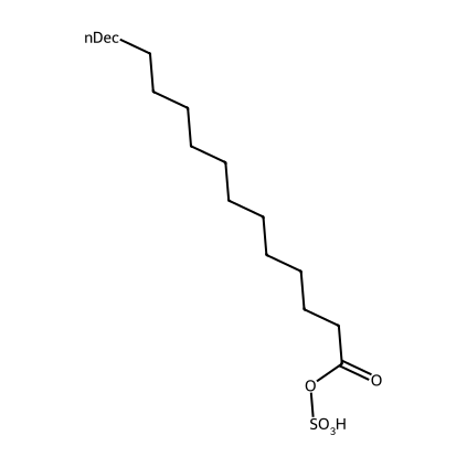 CCCCCCCCCCCCCCCCCCCCCC(=O)OS(=O)(=O)O